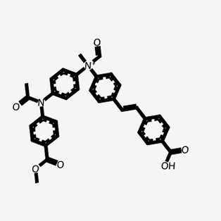 COC(=O)c1ccc(N(C(C)=O)c2ccc([N+](C)(C=O)c3ccc(/C=C/c4ccc(C(=O)O)cc4)cc3)cc2)cc1